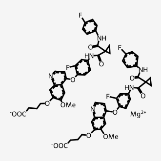 COc1cc2c(Oc3ccc(NC(=O)C4(C(=O)Nc5ccc(F)cc5)CC4)cc3F)ccnc2cc1OCCCC(=O)[O-].COc1cc2c(Oc3ccc(NC(=O)C4(C(=O)Nc5ccc(F)cc5)CC4)cc3F)ccnc2cc1OCCCC(=O)[O-].[Mg+2]